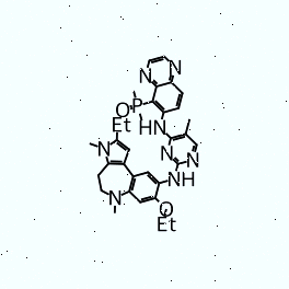 CCOc1cc2c(cc1Nc1ncc(C)c(Nc3ccc4nccnc4c3P(C)(C)=O)n1)-c1cc(CC)n(C)c1CCN2C